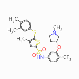 Cc1ccc(Sc2sc(S(=O)(=O)Nc3ccc(C(F)(F)F)c(O[C@@H]4CCN(C)C4)c3)cc2C)cc1C